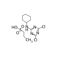 CCCS(=O)(=O)O.Clc1nc(Cl)nc(NC2CCCCC2)n1